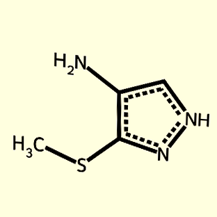 CSc1n[nH]cc1N